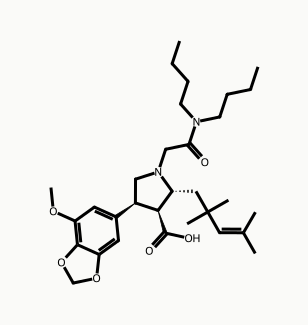 CCCCN(CCCC)C(=O)CN1C[C@H](c2cc(OC)c3c(c2)OCO3)[C@H](C(=O)O)[C@H]1CC(C)(C)C=C(C)C